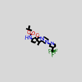 CC1C2CN(c3cc(C(F)(F)F)ccn3)CCN2C(=O)[C@]12CCC(NC(=O)OC(C)(C)C)C2